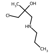 CCCNCC(C)(O)CCl